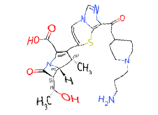 C[C@@H](O)[C@H]1C(=O)N2C(C(=O)O)=C(c3cn4cnc(C(=O)C5CCN(CCCN)CC5)c4s3)[C@H](C)[C@H]12